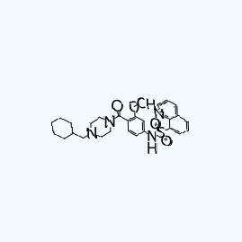 COc1cc(NS(=O)(=O)c2cccc3cccnc23)ccc1C(=O)N1CCN(CC2CCCCC2)CC1